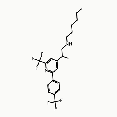 CCCCCCNCC(C)c1cc(-c2ccc(C(F)(F)F)cc2)nc(C(F)(F)F)c1